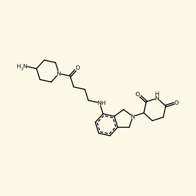 NC1CCN(C(=O)CCCNc2cccc3c2CN(C2CCC(=O)NC2=O)C3)CC1